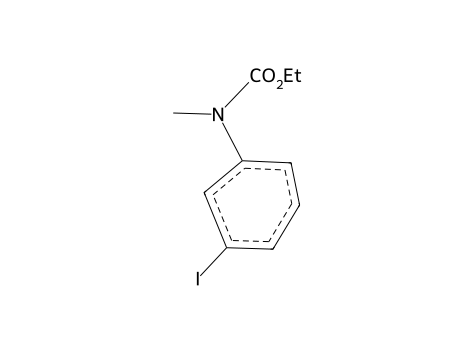 C[CH]OC(=O)N(C)c1cccc(I)c1